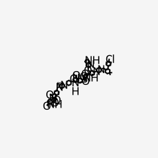 C[C@H]1CN([C@H]2CC[C@@H](CNc3ccc(S(=O)(=O)NC(=O)c4ccc(N5CCN(CC6=C(c7ccc(Cl)cc7)CC(C)(C)CC6)CC5)cc4Oc4cnc5[nH]ccc5c4)cc3[N+](=O)[O-])CC2)CCN1Cc1ccc2c(c1)C(=O)N(C1CCC(=O)NC1=O)C2=O